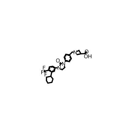 O=C(O)C1CN(Cc2ccc(N3CCN(c4ccc(C(F)(F)F)c(C5CCCCC5)c4)C3=O)cc2)C1